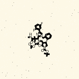 CNC(=O)C(C)(C)[C@H](c1nc(-c2cc(F)ccc2F)cn1Cc1ccccc1)N(CC1CN(C(=O)OC(C)(C)C)CC1F)C(=O)[C@H](C)OC(C)=O